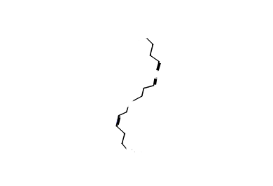 CCCCCCCCCCC/C=C\COCCC=C=CCCC(=O)O